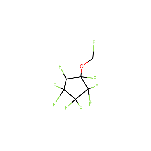 FCOC1(F)C(F)C(F)(F)C(F)(F)C1(F)F